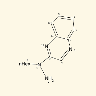 CCCCCCN(N)c1cnc2ccccc2n1